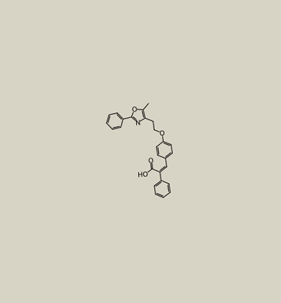 Cc1oc(-c2ccccc2)nc1CCOc1ccc(C=C(C(=O)O)c2ccccc2)cc1